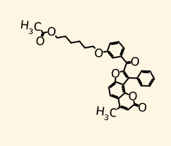 CC(=O)OCCCCCCOc1cccc(C(=O)c2oc3ccc4c(C)cc(=O)oc4c3c2-c2ccccc2)c1